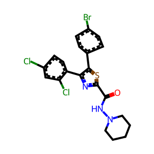 O=C(NN1CCCCC1)c1nc(-c2ccc(Cl)cc2Cl)c(-c2ccc(Br)cc2)s1